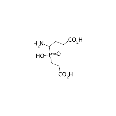 NC(CCC(=O)O)P(=O)(O)CCC(=O)O